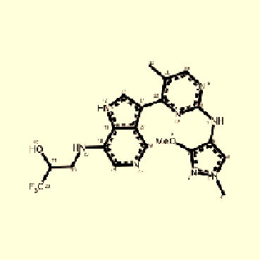 COc1nn(C)cc1Nc1ncc(C)c(-c2c[nH]c3c(NCC(O)C(F)(F)F)cncc23)n1